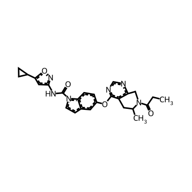 CCC(=O)N1Cc2ncnc(Oc3ccc4c(ccn4C(=O)Nc4cc(C5CC5)on4)c3)c2CC1C